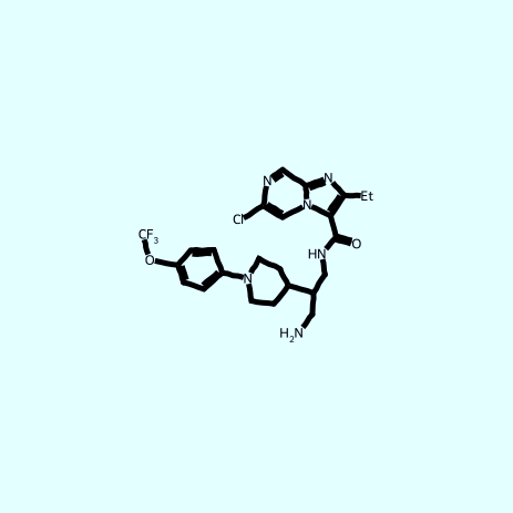 CCc1nc2cnc(Cl)cn2c1C(=O)NCC(CN)C1CCN(c2ccc(OC(F)(F)F)cc2)CC1